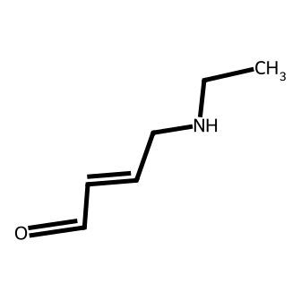 CCNC/C=C/C=O